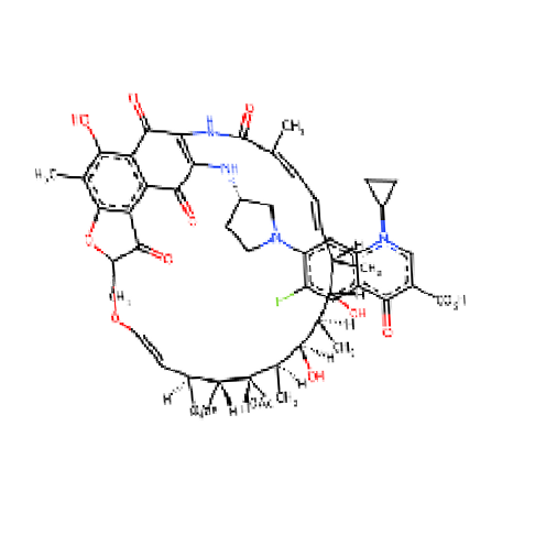 CO[C@H]1/C=C/O[C@@]2(C)Oc3c(C)c(O)c4c(c3C2=O)C(=O)C(N[C@H]2CCN(c3cc5c(cc3F)c(=O)c(C(=O)O)cn5C3CC3)C2)=C(NC(=O)/C(C)=C\C=C\[C@H](C)[C@H](O)[C@@H](C)[C@@H](O)[C@@H](C)[C@H](OC(C)=O)[C@@H]1C)C4=O